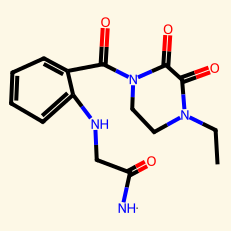 CCN1CCN(C(=O)c2ccccc2NCC([NH])=O)C(=O)C1=O